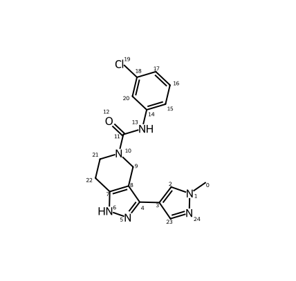 Cn1cc(-c2n[nH]c3c2CN(C(=O)Nc2cccc(Cl)c2)CC3)cn1